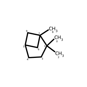 CC1(C)CCC2CC1(C)C2